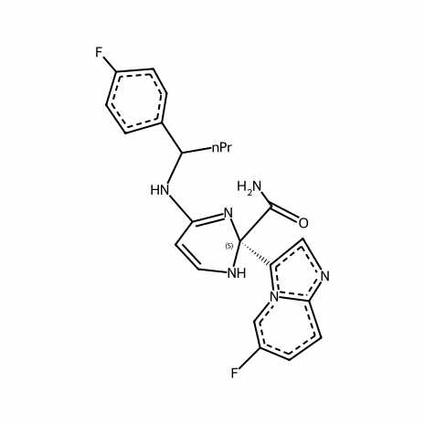 CCCC(NC1=N[C@](C(N)=O)(c2cnc3ccc(F)cn23)NC=C1)c1ccc(F)cc1